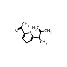 C=C(C)C(C)C1=CCC=C(C(C)=O)S1